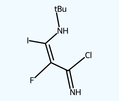 CC(C)(C)N/C(I)=C(/F)C(=N)Cl